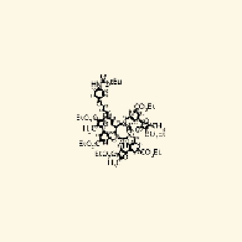 CCOC(=O)c1cc(-c2oc(C)c(C(=O)OCC)c2C)cc(CN2CCN(Cc3cc(-c4oc(C)c(C(=O)OCC)c4C)cc(C(=O)OCC)n3)CC(CCCCCCOc3ccc(NC(=O)OC(C)(C)C)cc3)CN(Cc3cc(-c4oc(C)c(C(=O)OCC)c4C)cc(C(=O)OCC)n3)CC2)n1